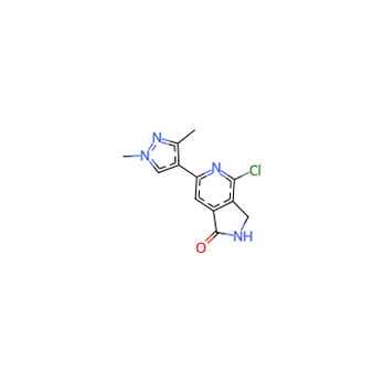 Cc1nn(C)cc1-c1cc2c(c(Cl)n1)CNC2=O